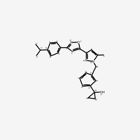 Cc1cc(-c2nc(-c3ccc(C(C)C)cc3)no2)nn1Cc1cccc(C2(O)CC2)c1